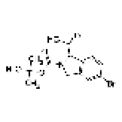 CC(C)(C)OC(=O)N1Cc2cc(Br)ccc2C1C(=O)O